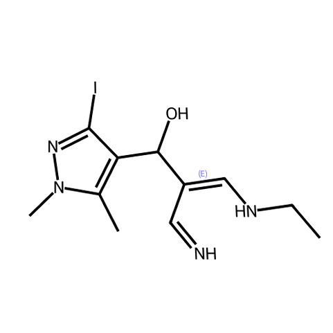 CCN/C=C(\C=N)C(O)c1c(I)nn(C)c1C